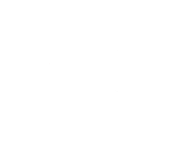 COC(=O)Oc1c(OC(C)(C)C)cc(OC)c2ccccc12